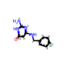 Nc1nc(NCc2ccc(F)cc2)cc(=O)[nH]1